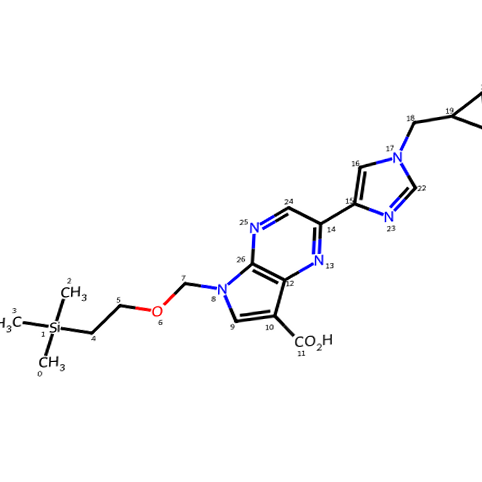 C[Si](C)(C)CCOCn1cc(C(=O)O)c2nc(-c3cn(CC4CC4)cn3)cnc21